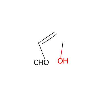 C=CC=O.CO